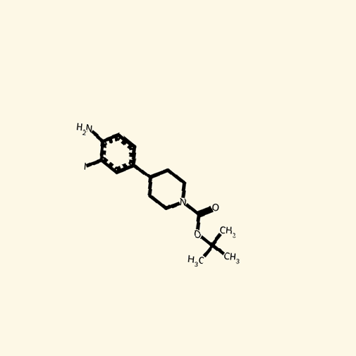 CC(C)(C)OC(=O)N1CCC(c2ccc(N)c(I)c2)CC1